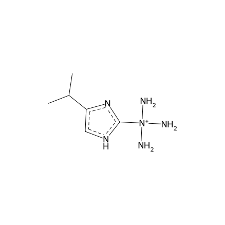 CC(C)c1c[nH]c([N+](N)(N)N)n1